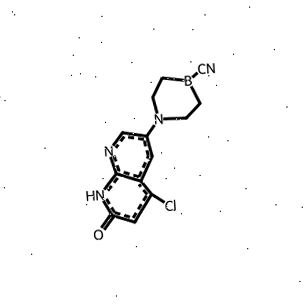 N#CB1CCN(c2cnc3[nH]c(=O)cc(Cl)c3c2)CC1